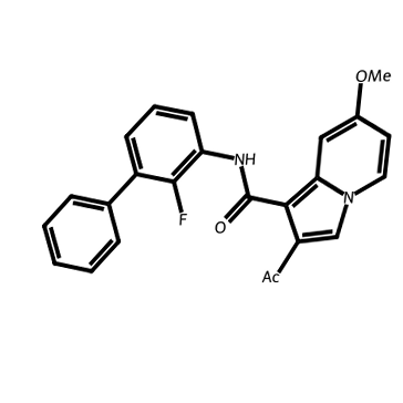 COc1ccn2cc(C(C)=O)c(C(=O)Nc3cccc(-c4ccccc4)c3F)c2c1